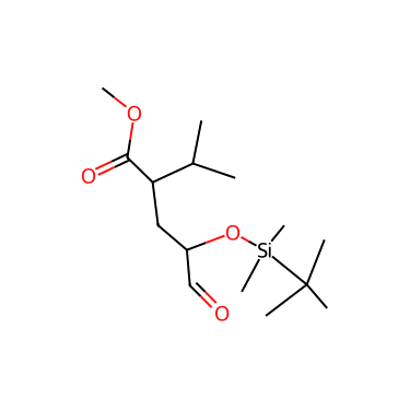 COC(=O)C(CC(C=O)O[Si](C)(C)C(C)(C)C)C(C)C